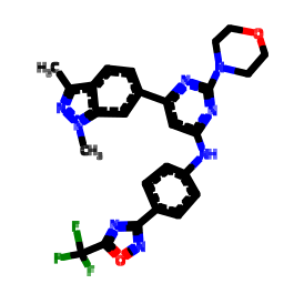 Cc1nn(C)c2cc(-c3cc(Nc4ccc(-c5noc(C(F)(F)F)n5)cc4)nc(N4CCOCC4)n3)ccc12